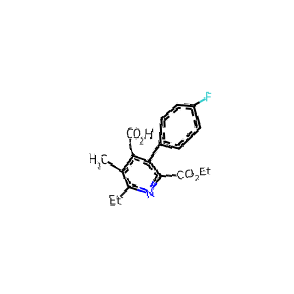 CCOC(=O)c1nc(CC)c(C)c(C(=O)O)c1-c1ccc(F)cc1